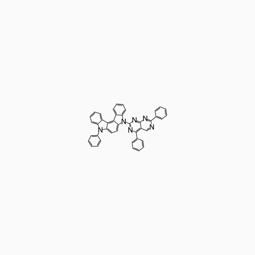 c1ccc(-c2ncc3c(-c4ccccc4)nc(-n4c5ccccc5c5c6c7ccccc7n(-c7ccccc7)c6ccc54)nc3n2)cc1